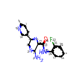 NC1N=CC(c2cccnc2)=NC1C(=O)Nc1ccccc1F